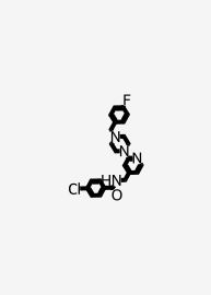 O=C(NCc1ccnc(N2CCN(Cc3ccc(F)cc3)CC2)c1)c1ccc(Cl)cc1